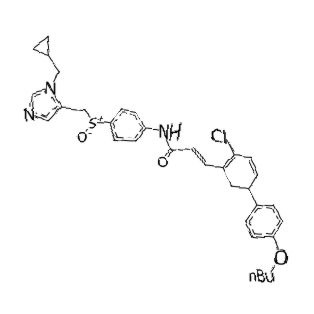 CCCCOc1ccc(C2C=CC(Cl)=C(/C=C/C(=O)Nc3ccc([S+]([O-])Cc4cncn4CC4CC4)cc3)C2)cc1